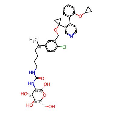 C[C@H](CCCCNC(=O)N[C@@H]1[C@@H](O)[C@H](O)[C@@H](CO)O[C@H]1O)c1ccc(Cl)c(COC2(c3cnccc3-c3ccccc3OC3CC3)CC2)c1